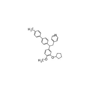 COc1ccc(C(Cc2ccncc2)c2ccc(-c3ccc(C)cc3)cc2)cc1OC1CCCC1